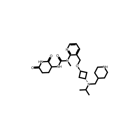 CC(C)N(CC1CCNCC1)[C@H]1C[C@H](OCc2cccnc2N(C)C(=O)NC2CCC(=O)NC2=O)C1